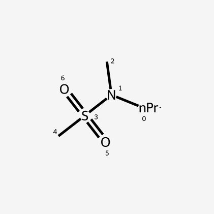 CC[CH]N(C)S(C)(=O)=O